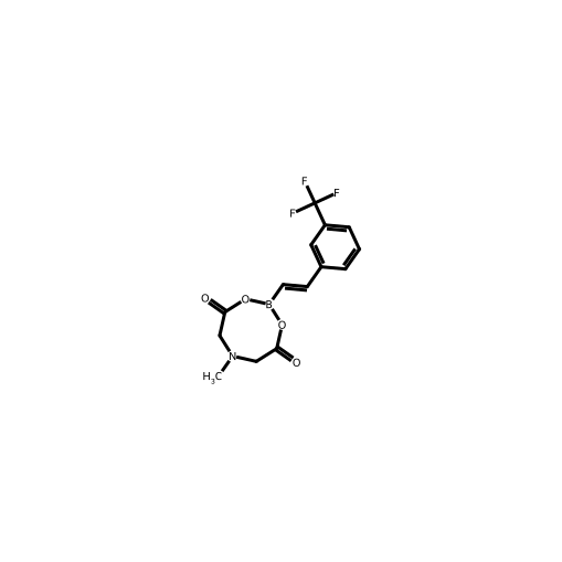 CN1CC(=O)OB(C=Cc2cccc(C(F)(F)F)c2)OC(=O)C1